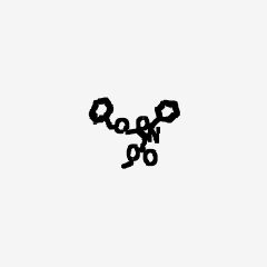 CCOC(=O)c1nc(-c2ccccc2)oc1COCc1ccccc1